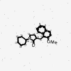 COc1ccc2ccccc2c1CC1CCN(C2CCCCC2)C1=O